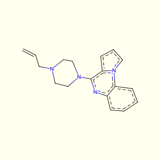 C=CCN1CCN(c2nc3ccccc3n3cccc23)CC1